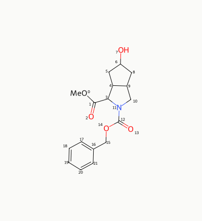 COC(=O)C1C2CC(O)CC2CN1C(=O)OCc1ccccc1